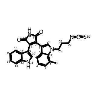 Cc1cccc2c(C3=C(c4c[nH]c5ccccc45)C(=O)NC3=O)cn(CCCN=C=S)c12